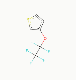 FC(F)(F)C(F)(F)Oc1ccsc1